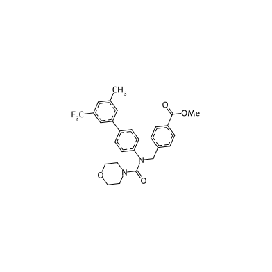 COC(=O)c1ccc(CN(C(=O)N2CCOCC2)c2ccc(-c3cc(C)cc(C(F)(F)F)c3)cc2)cc1